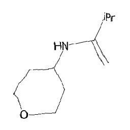 C=C(NC1CCOCC1)C(C)C